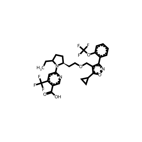 CCC1CC[C@@H](CCOCc2c(-c3ccccc3OC(F)(F)F)noc2C2CC2)N1c1cc(C(F)(F)F)c(C(=O)O)cn1